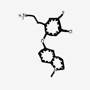 Cn1ccc2cc(Oc3cc(Cl)c(F)cc3CCN)ccc21